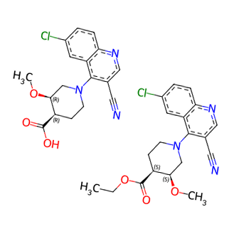 CCOC(=O)[C@H]1CCN(c2c(C#N)cnc3ccc(Cl)cc23)C[C@H]1OC.CO[C@H]1CN(c2c(C#N)cnc3ccc(Cl)cc23)CC[C@H]1C(=O)O